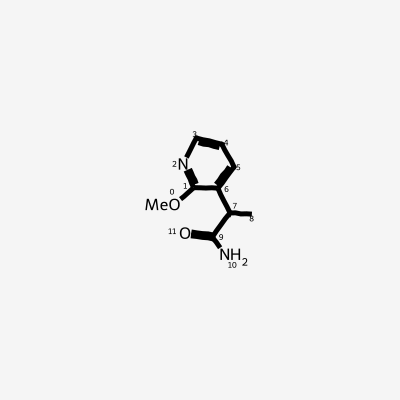 COc1ncccc1[C](C)C(N)=O